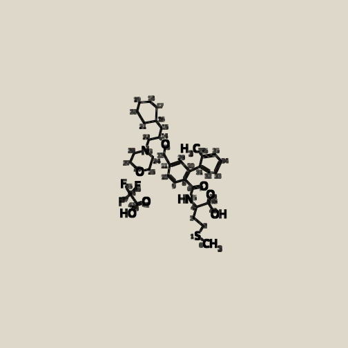 CSCCC(NC(=O)c1ccc(COC(CC2CCCCC2)CN2CCOCC2)cc1-c1ccccc1C)C(=O)O.O=C(O)C(F)(F)F